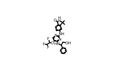 CC1(C)NC(=O)c2ccc(Nc3ncc(OC(F)C(F)F)c(NC(CO)c4ccccc4)n3)cc21